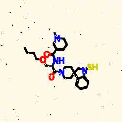 CCCCOC[C@@H](NC(=O)C1=CCCN(C)C1)C(=O)N1CCC2(CC1)CN(S)c1ccccc12